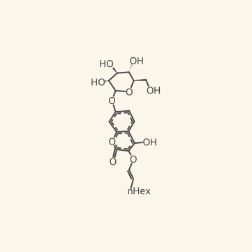 CCCCCC/C=C/Oc1c(O)c2ccc(OC3O[C@H](CO)[C@@H](O)[C@H](O)[C@H]3O)cc2oc1=O